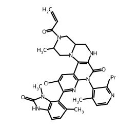 C=CC(=O)N1CC2CNc3c(c4cc(Cl)c(-c5c(C)ccc6[nH]c(=O)n(C)c56)nc4n(-c4c(C)ccnc4C(C)C)c3=O)N2CC1C